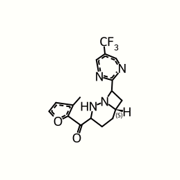 Cc1ccoc1C(=O)C1CC[C@H]2CC(c3ncc(C(F)(F)F)cn3)N2N1